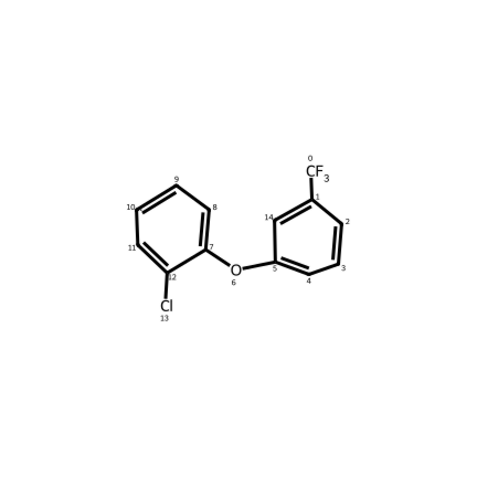 FC(F)(F)c1cccc(Oc2cc[c]cc2Cl)c1